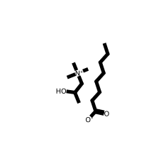 CC(O)C[N+](C)(C)C.CCCCCCCC(=O)[O-]